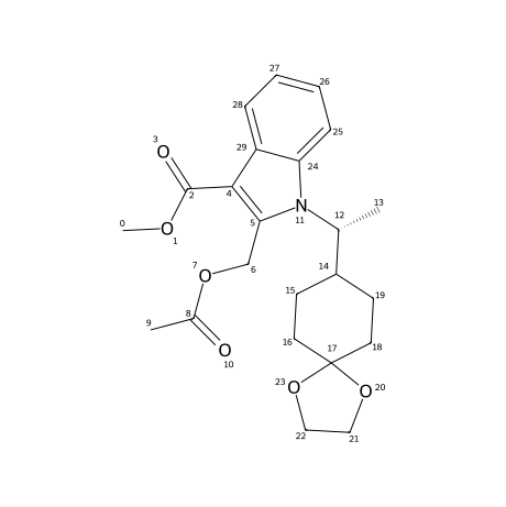 COC(=O)c1c(COC(C)=O)n([C@H](C)C2CCC3(CC2)OCCO3)c2ccccc12